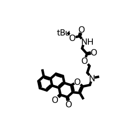 Cc1c(CN(C)CCOC(=O)CNC(=O)OC(C)(C)C)oc2c1C(=O)C(=O)c1c-2ccc2c(C)cccc12